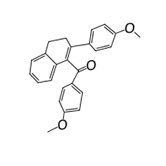 COc1ccc(C(=O)C2=C(c3ccc(OC)cc3)CCc3ccccc32)cc1